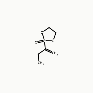 C=C(CC)P1(=O)OCCO1